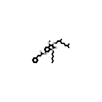 CCCCCCn1c(=O)c(OCC=C(C)CCC=C(C)C)c(OC)c2ccc(NC(=O)C=Cc3ccccc3)cc21